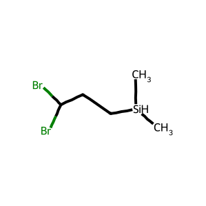 C[SiH](C)CCC(Br)Br